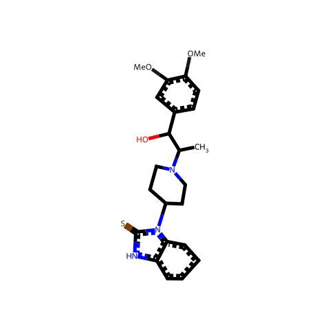 COc1ccc(C(O)C(C)N2CCC(n3c(=S)[nH]c4ccccc43)CC2)cc1OC